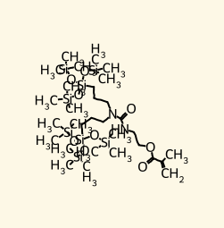 C=C(C)C(=O)OCCNC(=O)N(CCC[Si](O[Si](C)(C)C)(O[Si](C)(C)C)O[Si](C)(C)C)CCC[Si](O[Si](C)(C)C)(O[Si](C)(C)C)O[Si](C)(C)C